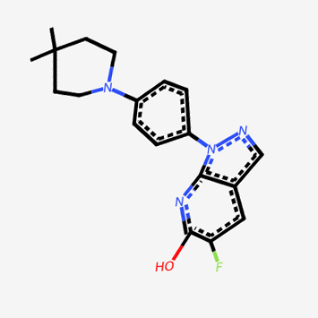 CC1(C)CCN(c2ccc(-n3ncc4cc(F)c(O)nc43)cc2)CC1